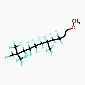 COCCC(F)(F)C(F)(F)C(F)(C(F)(F)F)C(F)(F)C(F)(F)C(F)(F)C(F)(F)C(C(F)(F)F)(C(F)(F)F)C(F)(F)F